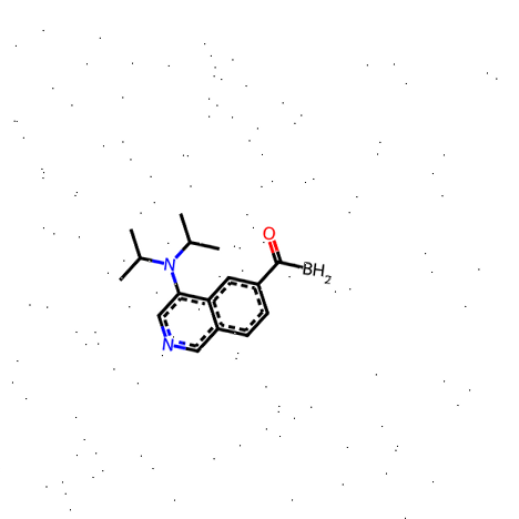 BC(=O)c1ccc2cncc(N(C(C)C)C(C)C)c2c1